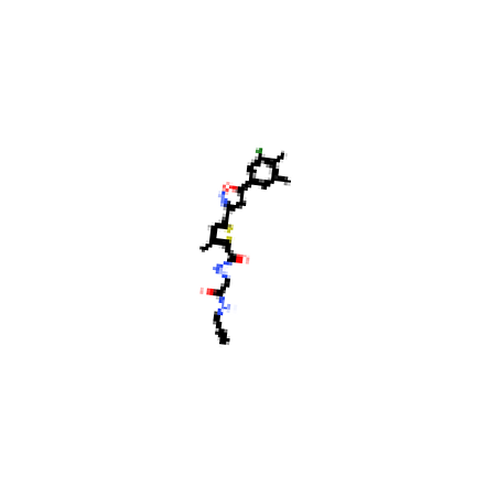 C#CCNC(=O)CNC(=O)c1sc(C2=NOC(c3cc(C)c(C)c(Cl)c3)C2)cc1C